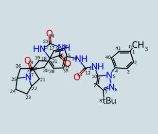 Cc1ccc(-n2nc(C(C)(C)C)cc2NC(=O)Nc2ccc(CC3CC4CCC(C3)N4C(=O)CC3NC(=O)NC3=O)cc2)cc1